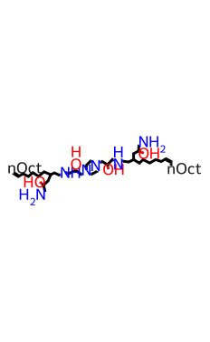 CCCCCCCC/C=C\CCCCCC(CCNCC(O)CN1CCN(CC(O)CNCCC(CCCCC/C=C\CCCCCCCC)CC(O)CN)CC1)CC(O)CN